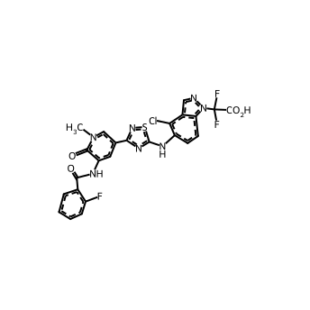 Cn1cc(-c2nsc(Nc3ccc4c(cnn4C(F)(F)C(=O)O)c3Cl)n2)cc(NC(=O)c2ccccc2F)c1=O